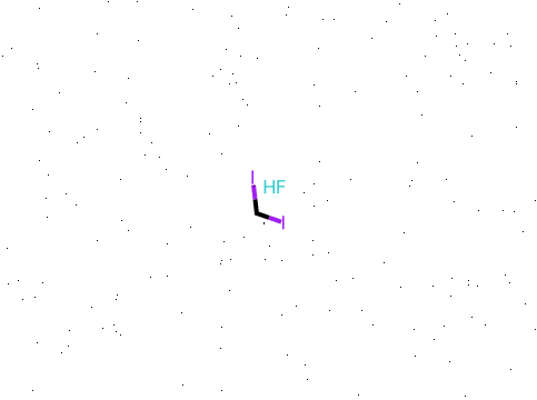 F.ICI